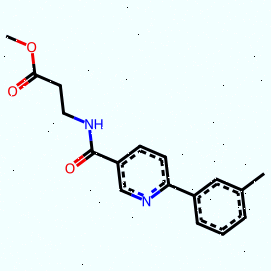 COC(=O)CCNC(=O)c1ccc(-c2cccc(C)c2)nc1